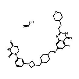 O=C1CCN(c2cccc(N3CC(CN4CCC(COc5cc(F)c6c(=O)[nH]c(CSC7CCOCC7)nc6c5)CC4)C3)c2)C(=O)N1.O=CO